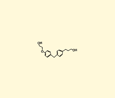 OCCCc1ccc(Cc2ccc(OCCO)cc2)cc1